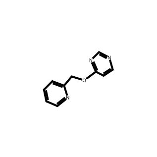 [c]1nccc(OCc2ccccn2)n1